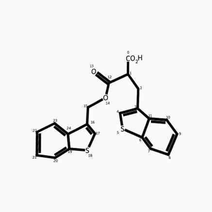 O=C(O)C(Cc1csc2ccccc12)C(=O)OCc1csc2ccccc12